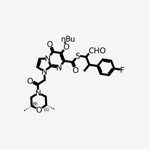 CCCCOc1c(C(=O)SC(C=O)C(C)c2ccc(F)cc2)nc2n(CC(=O)N3C[C@@H](C)O[C@@H](C)C3)ccn2c1=O